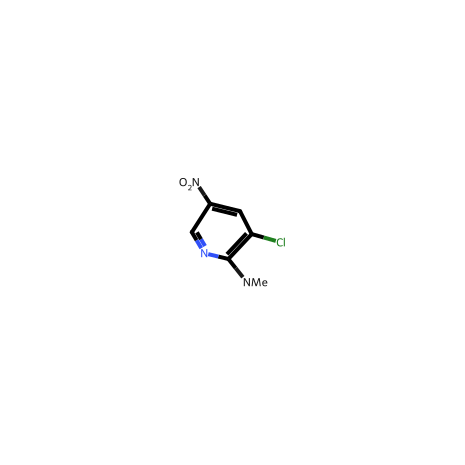 CNc1ncc([N+](=O)[O-])cc1Cl